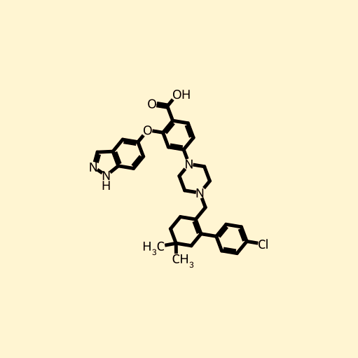 CC1(C)CCC(CN2CCN(c3ccc(C(=O)O)c(Oc4ccc5[nH]ncc5c4)c3)CC2)=C(c2ccc(Cl)cc2)C1